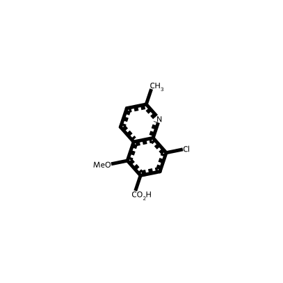 COc1c(C(=O)O)cc(Cl)c2nc(C)ccc12